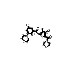 Cc1c(NC(=O)c2cc(F)cc(N3CCOCC3)c2)sc(C(=O)N2CCOCC2)c1Cl